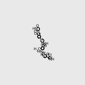 CCOc1c(-c2cn[nH]c2)ccn2nc(Nc3ccc(S(=O)(=O)NC4CCN(c5ccc6c(c5)CN(C5CCC(=O)NC5=O)C6=O)CC4)cc3C)nc12